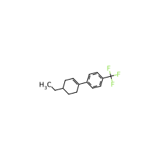 CCC1CC=C(c2ccc(C(F)(F)F)cc2)CC1